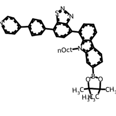 CCCCCCCCn1c2cc(B3OC(C)(C)C(C)(C)O3)ccc2c2cccc(-c3ccc(-c4ccc(-c5ccncc5)cc4)c4snnc34)c21